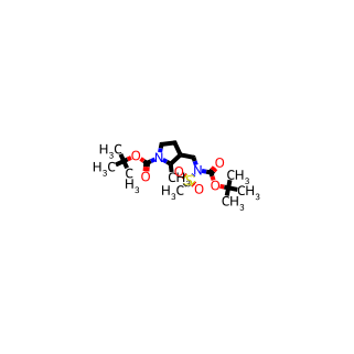 CC1C(CN(C(=O)OC(C)(C)C)S(C)(=O)=O)CCN1C(=O)OC(C)(C)C